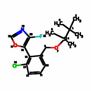 CC(C)(C)[Si](C)(C)OCc1cccc(Cl)c1-c1ocnc1F